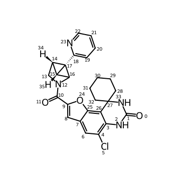 O=C1Nc2c(Cl)cc3cc(C(=O)N4C[C@H]5[C@H]6C4[C@@]65c4ccccn4)oc3c2C2(CCCCC2)N1